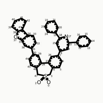 O=S1(=O)Cc2ccc(-c3cc(-c4ccccc4)nc(-c4ccccc4)c3)cc2-c2cc(-c3ccc4c(c3)oc3ccccc34)ccc2C1